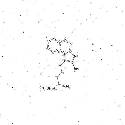 CCCc1nc2cnc3ccccc3c2n1CCCC(C)N(C)O